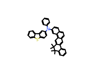 CC1(C)c2ccccc2-c2cc3ccc4ccc(N(c5ccccc5)c5ccc6sc7ccccc7c6c5)cc4c3cc2C1(C)C